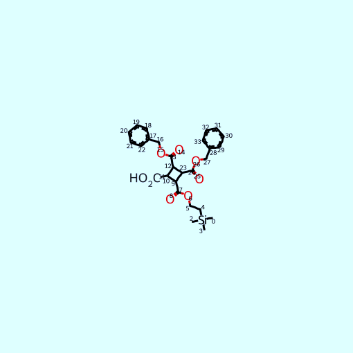 C[Si](C)(C)CCOC(=O)C1C(C(=O)O)C(C(=O)OCc2ccccc2)C1C(=O)OCc1ccccc1